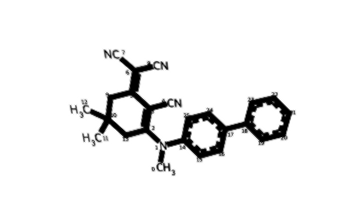 CN(C1=C(C#N)C(=C(C#N)C#N)CC(C)(C)C1)c1ccc(-c2ccccc2)cc1